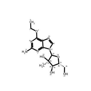 CCOc1nc(N)nc2c1ncn2C1O[C@H](CO)[C@@H](O)[C@@]1(C)O